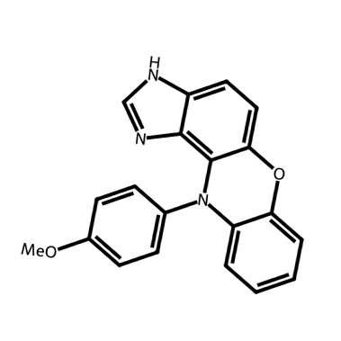 COc1ccc(N2c3ccccc3Oc3ccc4[nH]cnc4c32)cc1